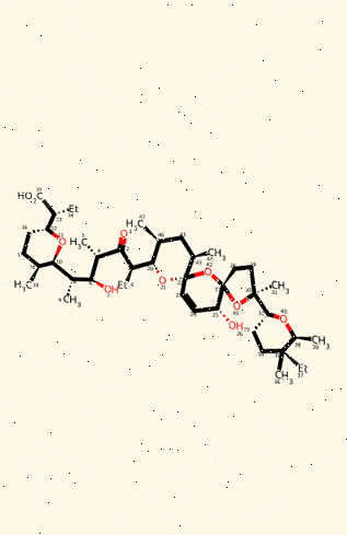 CC[C@@H](C(=O)[C@@H](C)[C@@H](O)[C@H](C)[C@@H]1O[C@@H]([C@@H](CC)C(=O)O)CC[C@@H]1C)[C@H]1O[C@]2(C=C[C@@H](O)[C@]3(CC[C@@](C)([C@H]4CC[C@](C)(CC)[C@H](C)O4)O3)O2)[C@H](C)C[C@@H]1C